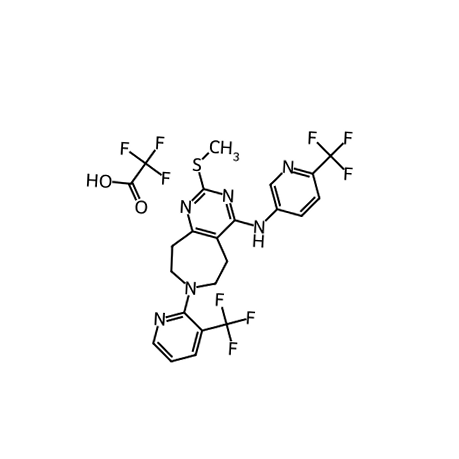 CSc1nc2c(c(Nc3ccc(C(F)(F)F)nc3)n1)CCN(c1ncccc1C(F)(F)F)CC2.O=C(O)C(F)(F)F